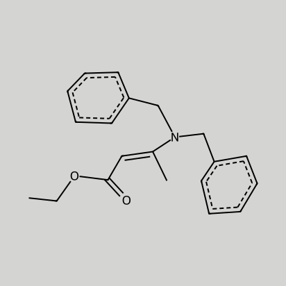 CCOC(=O)C=C(C)N(Cc1ccccc1)Cc1ccccc1